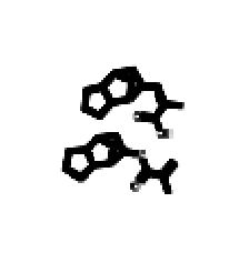 C=C(C)C(=O)OC1CC2CC1C1CCCC21.CC(=CC1CC2CC1C1CCCC21)C(=O)O